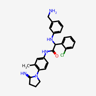 Cc1cc(NC(=O)C(Nc2cccc(CN)c2)c2ccccc2Cl)ccc1N1CCCC1=N